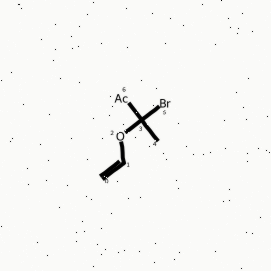 C=COC(C)(Br)C(C)=O